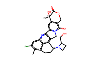 CC[C@@]1(O)C(=O)OCc2c1cc1n(c2=O)Cc2c-1nc1cc(F)c(C)c3c1c2[C@@H](N1CCC1CO)CC3